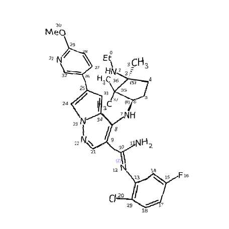 CCN[C@@]1(C)CC[C@@H](Nc2c(/C(N)=N/c3cc(F)ccc3Cl)cnn3cc(-c4ccc(OC)nc4)cc23)C1(C)C